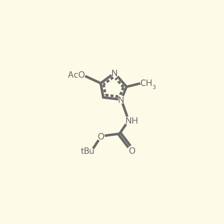 CC(=O)Oc1cn(NC(=O)OC(C)(C)C)c(C)n1